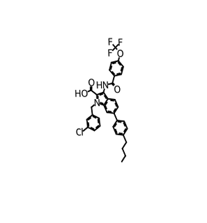 CCCCc1ccc(-c2ccc3c(NC(=O)c4ccc(OC(F)(F)F)cc4)c(C(=O)O)n(Cc4cccc(Cl)c4)c3c2)cc1